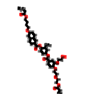 C=CC(=O)OCCCCOc1ccc2cc(C(=O)Oc3ccc(OC(=O)c4ccc(OCCOCCOC(=O)C=C)c(OCCO)c4)cc3OC(C)=O)ccc2c1